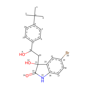 CC(C)(C)c1ccc(C(O)CC2(O)C(=O)Nc3ccc(Br)cc32)cc1